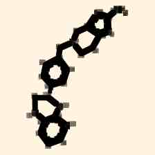 Nc1nc2c(s1)CN(Cc1ccc([C@H]3COc4cccnc4O3)cc1)CC2